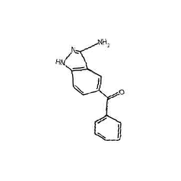 Nc1n[nH]c2ccc(C(=O)c3ccccc3)cc12